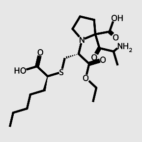 CCCCC[C@H](SC[C@@H](C(=O)OCC)N1CCCC1(C(=O)O)C(=O)C(C)N)C(=O)O